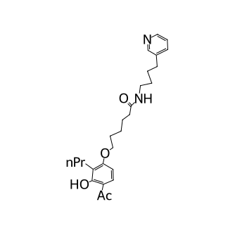 CCCc1c(OCCCCCC(=O)NCCCCc2cccnc2)ccc(C(C)=O)c1O